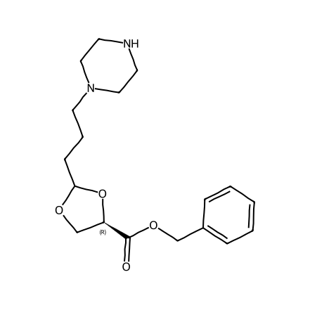 O=C(OCc1ccccc1)[C@H]1COC(CCCN2CCNCC2)O1